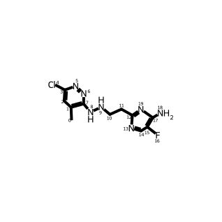 Cc1cc(Cl)nnc1NNCCc1ncc(F)c(N)n1